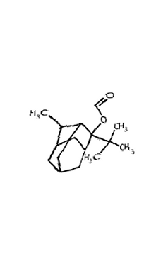 CC1C2CC3CC(C2)C(OC=O)(C(C)(C)C)C1C3